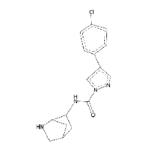 O=C(NC1CC2CNC1C2)n1cc(-c2ccc(Cl)cc2)cn1